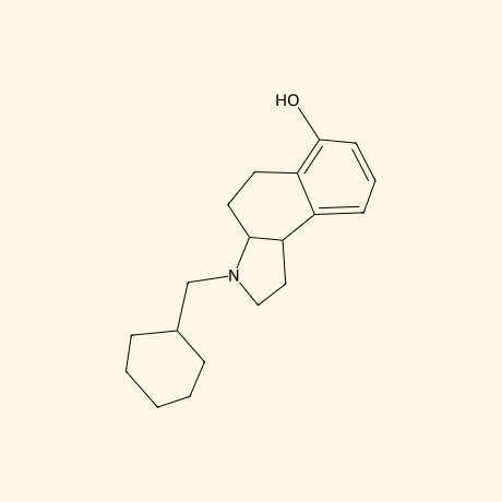 Oc1cccc2c1CCC1C2CCN1CC1CCCCC1